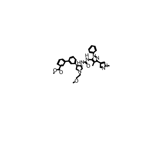 COCCN1C[C@@H](NC(=O)Nc2c(C)c(-c3cnn(C)c3)nn2-c2ccccc2)[C@H](c2cccc(-c3cccc(C(=O)OC)c3)c2)C1